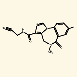 C#CCNC(=O)c1ncn2c1CN(C)C(=O)c1cc(F)ccc1-2